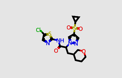 O=C(Nc1ncc(Cl)s1)C(CC1CCCOC1)n1cc(S(=O)(=O)C2CC2)cn1